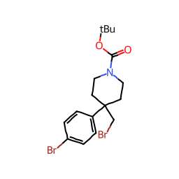 CC(C)(C)OC(=O)N1CCC(CBr)(c2ccc(Br)cc2)CC1